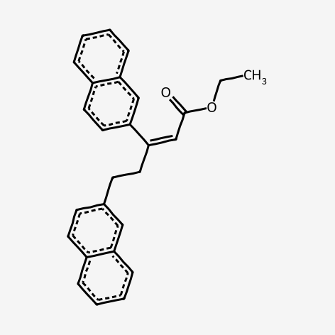 CCOC(=O)C=C(CCc1ccc2ccccc2c1)c1ccc2ccccc2c1